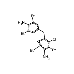 CCc1cc(Cc2cc(CC)c(N)c(CC)c2Cl)cc(CC)c1N